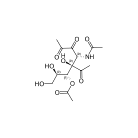 CC(=O)N[C@@H](C(=O)C(C)=O)[C@](O)(C(C)=O)[C@H](OC(C)=O)[C@H](O)CO